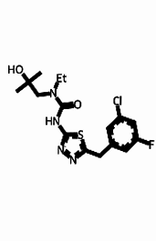 CCN(CC(C)(C)O)C(=O)Nc1nnc(Cc2cc(F)cc(Cl)c2)s1